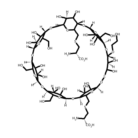 N[C@H](CSCC1O[C@H]2O[C@@H]3C(CO)O[C@H](O[C@@H]4C(CO)O[C@H](O[C@@H]5C(CO)O[C@H](O[C@@H]6C(CSC[C@@H](N)C(=O)O)O[C@H](OCC(O)[C@H](O)[C@@H](OCCO)O[C@@H]7C(CO)O[C@@H](O[C@H]1C(O)[C@@H]2O)[C@@H](O)C7O)C(O)[C@H]6O)C(O)[C@H]5O)[C@@H](O)C4O)[C@@H](O)C3O)C(=O)O